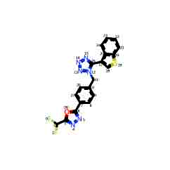 FC(F)c1nnc(-c2ccc(Cn3nnnc3-c3csc4ccccc34)cc2)o1